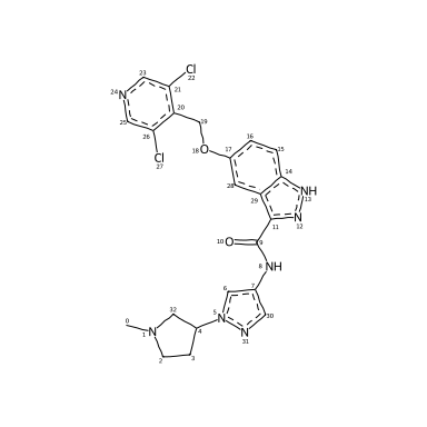 CN1CCC(n2cc(NC(=O)c3n[nH]c4ccc(OCc5c(Cl)cncc5Cl)cc34)cn2)C1